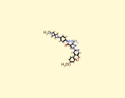 COc1ccc2c(c1)OCc1cnc(-n3cc(C(=O)Nc4ccc(N5CC6(CN(C)C6)C5)cc4)c(N)n3)cc1-2